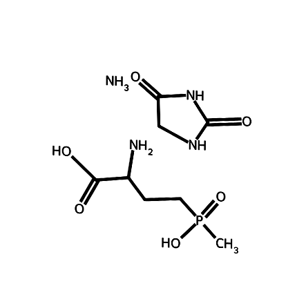 CP(=O)(O)CCC(N)C(=O)O.N.O=C1CNC(=O)N1